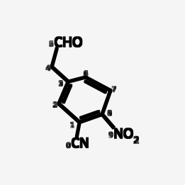 N#Cc1cc(CC=O)ccc1[N+](=O)[O-]